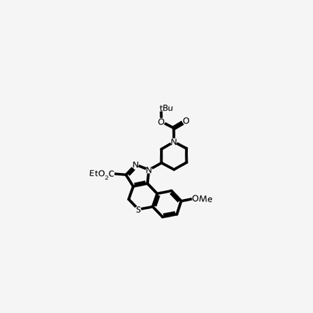 CCOC(=O)c1nn(C2CCCN(C(=O)OC(C)(C)C)C2)c2c1CSc1ccc(OC)cc1-2